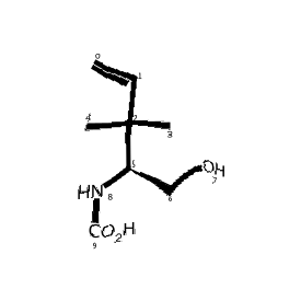 C=CC(C)(C)[C@@H](CO)NC(=O)O